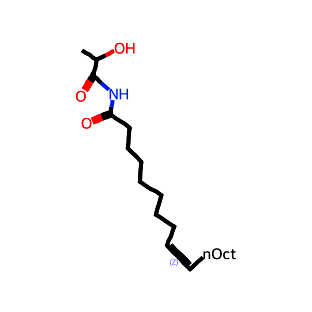 CCCCCCCC/C=C\CCCCCCCC(=O)NC(=O)C(C)O